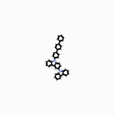 c1ccc(-c2ccc(-c3ccc(-n4c5ccccc5c5cc(-n6c7ccccc7c7ccccc76)ccc54)cc3)cc2)cc1